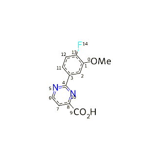 COc1cc(-c2nccc(C(=O)O)n2)ccc1F